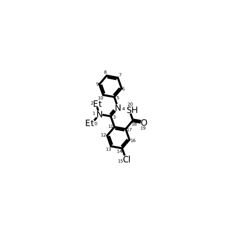 CCN(CC)C(=Nc1ccccc1)c1ccc(Cl)cc1C(=O)S